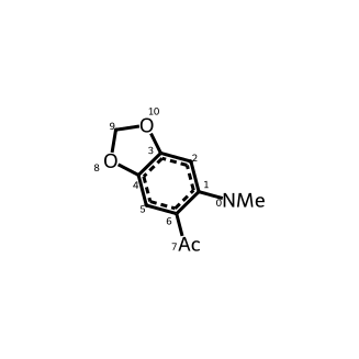 CNc1cc2c(cc1C(C)=O)OCO2